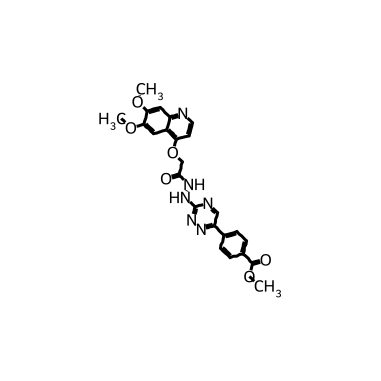 COC(=O)c1ccc(-c2cnc(NNC(=O)COc3ccnc4cc(OC)c(OC)cc34)nn2)cc1